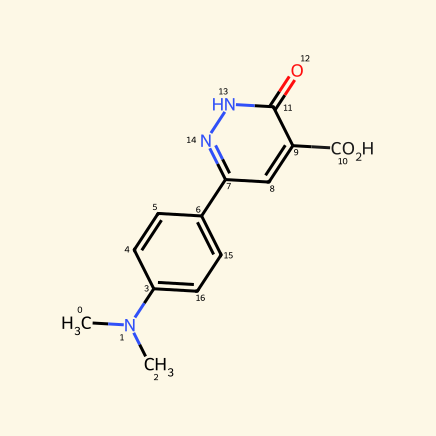 CN(C)c1ccc(-c2cc(C(=O)O)c(=O)[nH]n2)cc1